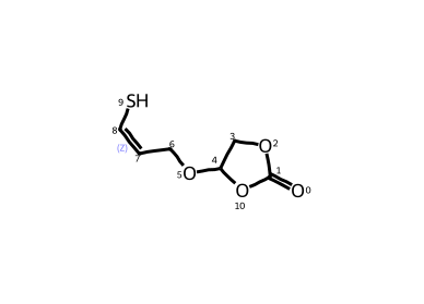 O=C1OCC(OC/C=C\S)O1